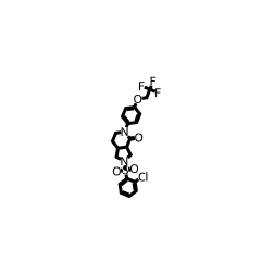 O=C1C2CN(S(=O)(=O)c3ccccc3Cl)CC2CCN1c1ccc(OCC(F)(F)F)cc1